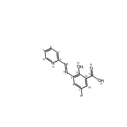 Cc1cc(N=Nc2ccccn2)c(O)c(C(=O)O)c1